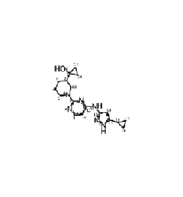 OC1(C2CCCN(c3nccc(Nc4cc(C5CC5)[nH]n4)n3)C2)CC1